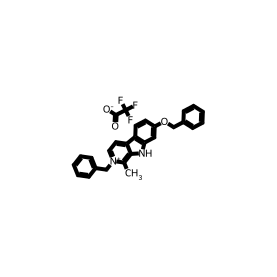 Cc1c2[nH]c3cc(OCc4ccccc4)ccc3c2cc[n+]1Cc1ccccc1.O=C([O-])C(F)(F)F